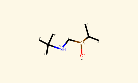 CC(C)[S+]([O-])CNC(C)(C)C